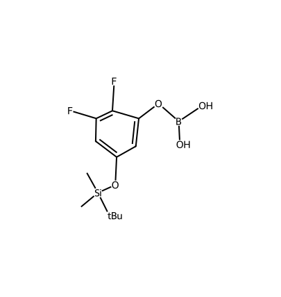 CC(C)(C)[Si](C)(C)Oc1cc(F)c(F)c(OB(O)O)c1